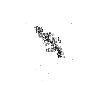 CC(C)(C)OC(=O)[C@H](Cc1cccc(Nc2ccc(C[C@@H](C(=O)OC(C)(C)C)[C@@H]3CCN(C(=O)OC(C)(C)C)C3)cc2N)c1)[C@@H]1CCN(C(=O)OC(C)(C)C)C1